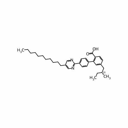 CCCCCCCCCCCc1cnc(-c2ccc(-c3cc(C[C@@H](C)CC)ccc3C(=O)O)cc2)nc1